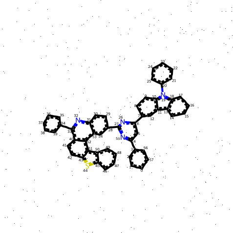 c1ccc(-c2cc(-c3ccc4c(c3)c3ccccc3n4-c3ccccc3)nc(-c3ccc4nc(-c5ccccc5)c5ccc6sc7ccccc7c6c5c4c3)n2)cc1